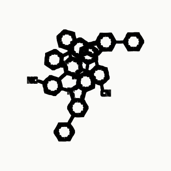 N#Cc1ccc(-n2c3cc(-c4ccccc4)ccc3c3ccc(-c4ccccc4)cc32)c(-c2nc(-c3ccccc3)nc(-c3cc(C#N)ccc3-n3c4cc(-c5ccccc5)ccc4c4ccc(-c5ccccc5)cc43)n2)c1